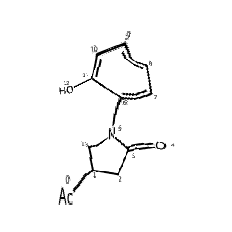 CC(=O)C1CC(=O)N(c2ccccc2O)C1